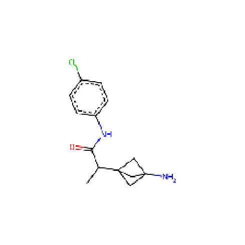 CC(C(=O)Nc1ccc(Cl)cc1)C12CC(N)(C1)C2